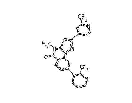 Cn1c(=O)c2ccc(-c3cccnc3C(F)(F)F)cc2n2nc(-c3ccnc(C(F)(F)F)c3)cc12